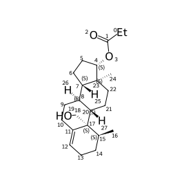 CCC(=O)O[C@H]1CC[C@H]2[C@@H]3CCC4=CCC[C@H](C)[C@]4(CO)[C@H]3CC[C@]12C